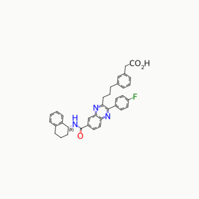 O=C(O)Cc1cccc(CCCc2nc3cc(C(=O)N[C@@H]4CCCc5ccccc54)ccc3nc2-c2ccc(F)cc2)c1